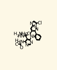 CC(=O)Nc1ncnc(N[C@@H](C)c2cc3ncc(Cl)n3nc2-c2ccccc2)c1C(=O)NN